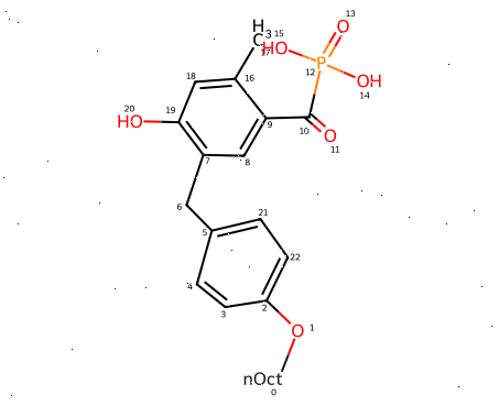 CCCCCCCCOc1ccc(Cc2cc(C(=O)P(=O)(O)O)c(C)cc2O)cc1